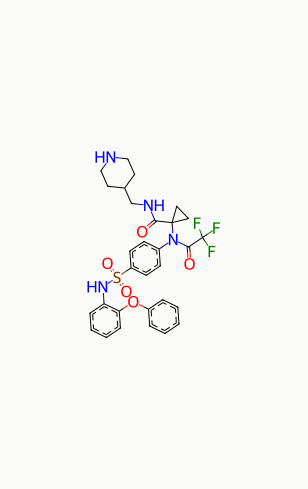 O=C(N(c1ccc(S(=O)(=O)Nc2ccccc2Oc2ccccc2)cc1)C1(C(=O)NCC2CCNCC2)CC1)C(F)(F)F